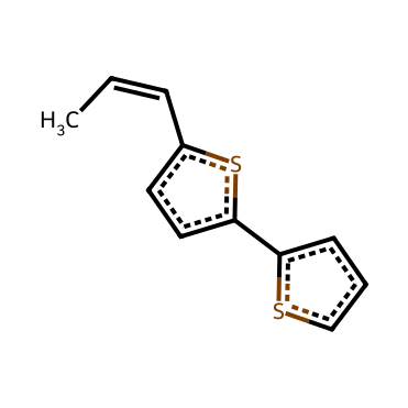 C/C=C\c1ccc(-c2cccs2)s1